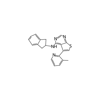 Cc1cccnc1-c1csc2ncnc(NC3Cc4ccccc4C3)c12